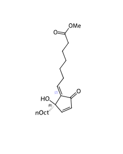 CCCCCCCC[C@@]1(O)C=CC(=O)/C1=C\CCCCCC(=O)OC